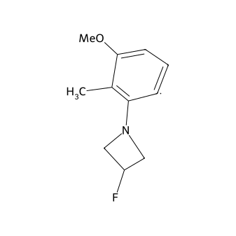 COc1cc[c]c(N2CC(F)C2)c1C